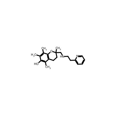 Cc1c(C)c2c(c(C)c1O)CCC(C)(CNCCc1ccccn1)O2